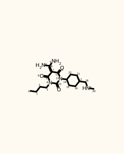 CCCCN1C(=O)C(=C(N)N)C(=O)N(C2CCC(CNC)CC2)C1=O